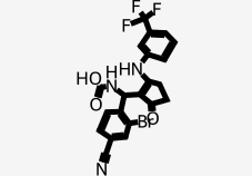 N#Cc1ccc(C(NC(=O)O)C2=C(Nc3cccc(C(F)(F)F)c3)CCC2=O)c(Br)c1